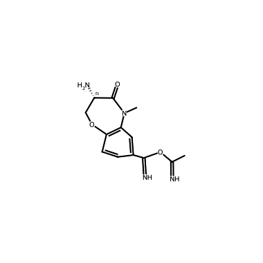 CC(=N)OC(=N)c1ccc2c(c1)N(C)C(=O)[C@@H](N)CO2